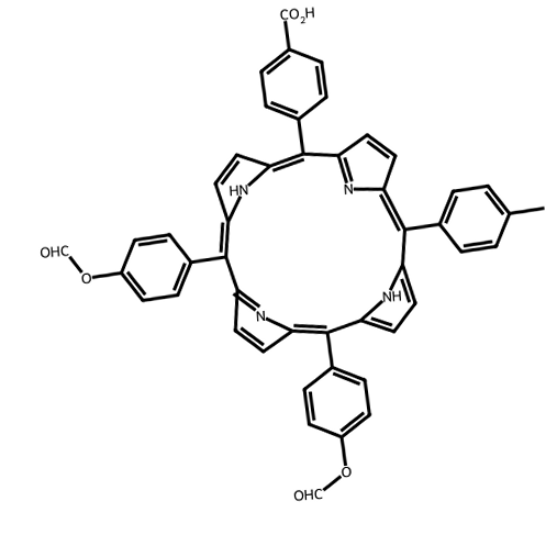 Cc1ccc(-c2c3nc(c(-c4ccc(C(=O)O)cc4)c4ccc([nH]4)c(-c4ccc(OC=O)cc4)c4nc(c(-c5ccc(OC=O)cc5)c5ccc2[nH]5)C=C4)C=C3)cc1